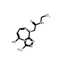 Cc1nnc2n1C(S)=CC=N[C@H]2CC(=O)NCC(F)(F)F